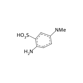 CNc1ccc(N)c(S(=O)(=O)O)c1